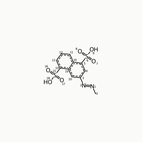 C/N=N/c1cc(S(=O)(=O)O)c2cccc(S(=O)(=O)O)c2c1